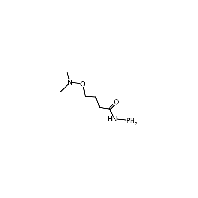 CN(C)OCCCC(=O)NP